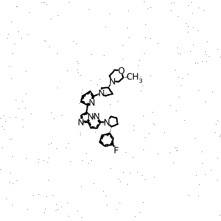 C[C@@H]1CN([C@H]2CCN(c3cccc(-c4cnc5ccc(N6CCC[C@@H]6c6cccc(F)c6)nn45)n3)C2)CCO1